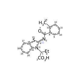 CCC(C(=O)O)n1/c(=N/C(=O)c2ccccc2C)sc2ccccc21